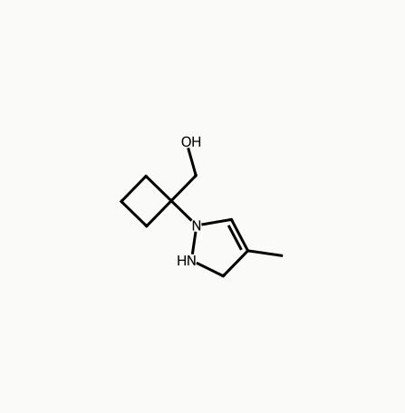 CC1=CN(C2(CO)CCC2)NC1